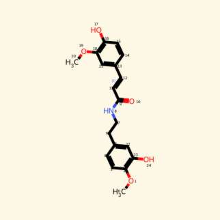 COc1ccc(CCNC(=O)/C=C/c2ccc(O)c(OC)c2)cc1O